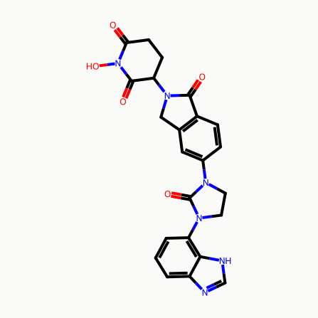 O=C1CCC(N2Cc3cc(N4CCN(c5cccc6nc[nH]c56)C4=O)ccc3C2=O)C(=O)N1O